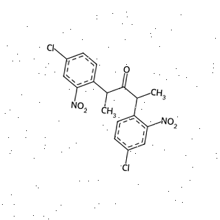 CC(C(=O)C(C)c1ccc(Cl)cc1[N+](=O)[O-])c1ccc(Cl)cc1[N+](=O)[O-]